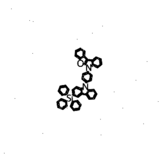 c1ccc([Si](c2ccccc2)(c2ccccc2)c2ccc3c(c2)c2ccccc2n3-c2ccc(-n3c4ccccc4c4c5ccccc5oc43)cc2)cc1